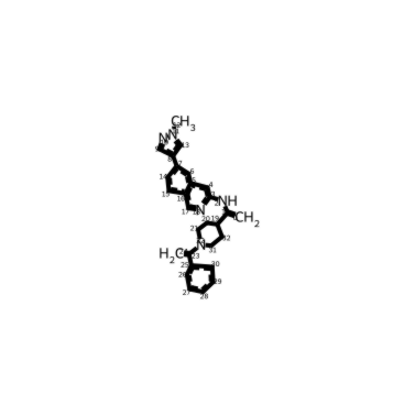 C=C(Nc1cc2cc(-c3cnn(C)c3)ccc2cn1)C1CCN(C(=C)c2ccccc2)CC1